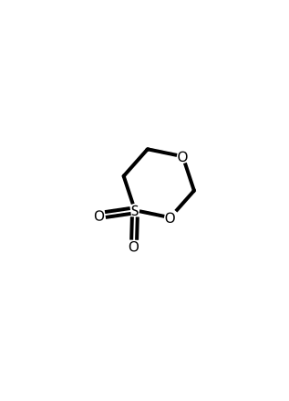 O=S1(=O)CCOCO1